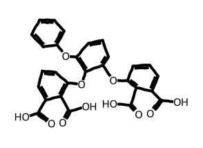 O=C(O)c1cccc(Oc2cccc(Oc3ccccc3)c2Oc2cccc(C(=O)O)c2C(=O)O)c1C(=O)O